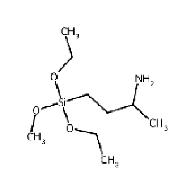 CCO[Si](CCC(C)N)(OC)OCC